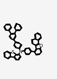 c1ccc(-c2ccc(-c3ccc(N(c4ccc(-c5cccc6oc7c8ccccc8ccc7c56)cc4)c4cccc5c4sc4ccccc45)cc3)cc2-c2ccccc2)cc1